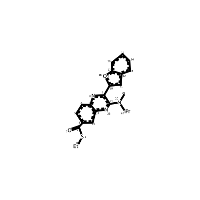 CCSC(=O)c1ccc2nc(-c3cc4ccccc4o3)c(N(C)C(C)C)nc2c1